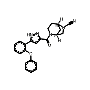 N#CN1C[C@H]2C[C@@H]1CCN2C(=O)c1cc(-c2ccccc2Oc2ccccc2)[nH]n1